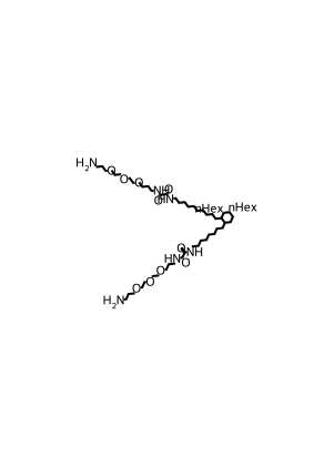 CCCCCCC1CCC(CCCCCCCCNC(=O)C(=O)NCCCOCCOCCOCCCN)C(CCCCCCCCCCNC(=O)C(=O)NCCCOCCOCCOCCCN)C1CCCCCC